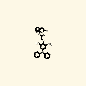 Cc1cc([S+](c2ccccc2)c2ccccc2)cc(C)c1OCC(=O)OC12CC3CC(C(=O)O1)C2C3